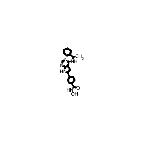 CC(Nc1ncnc2[nH]c(-c3ccc(C(=O)NO)cc3)cc12)c1ccccc1